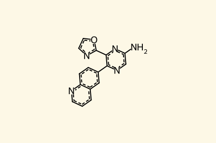 Nc1cnc(-c2ccc3ncccc3c2)c(-c2ncco2)n1